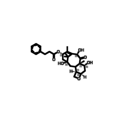 CC1=C2[C@@H](O)C(=O)[C@@]3(C)C(C[C@](O)(C[C@@H]1OC(=O)CCc1ccccc1)C2(C)C)[C@@H]1CO[C@@H]1C[C@@H]3O